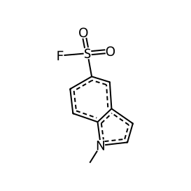 Cn1ccc2cc(S(=O)(=O)F)ccc21